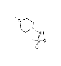 CN1CCC(NS(=O)(=O)I)CC1